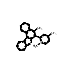 Cc1cc[n+](C)c(-c2c(C)c3ccccc3c3c2oc2ccccc23)c1